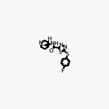 O=C(N[C@H]1CN2CCC1CC2)c1nnc(Sc2ccc(F)cc2)s1